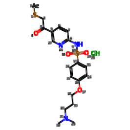 CC(=O)SCC(=O)c1ccc(NS(=O)(=O)c2ccc(OCCCN(C)C)cc2)nc1.Cl